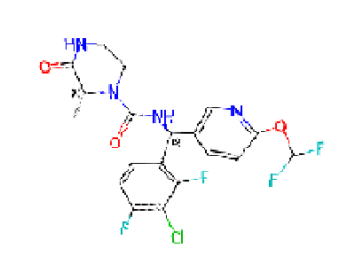 C[C@@H]1C(=O)NCCN1C(=O)N[C@@H](c1ccc(OC(F)F)nc1)c1ccc(F)c(Cl)c1F